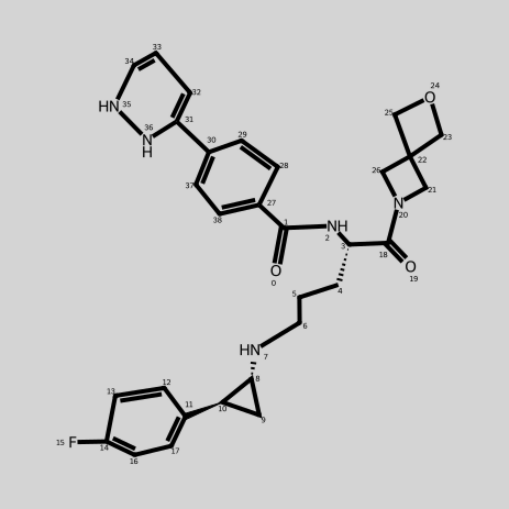 O=C(N[C@@H](CCCN[C@@H]1C[C@H]1c1ccc(F)cc1)C(=O)N1CC2(COC2)C1)c1ccc(C2=CC=CNN2)cc1